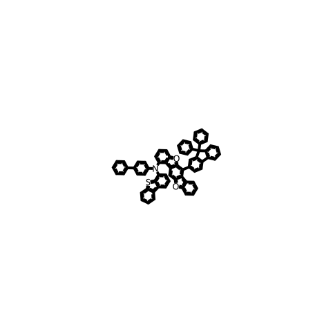 c1ccc(-c2ccc(N(c3cccc4c3sc3ccccc34)c3cccc4oc5c(-c6ccc7c(c6)C(c6ccccc6)(c6ccccc6)c6ccccc6-7)c6c(cc5c34)oc3ccccc36)cc2)cc1